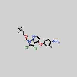 Cc1cc(Oc2ccnc3c2c(Cl)c(Cl)n3COCC[Si](C)(C)C)ccc1N